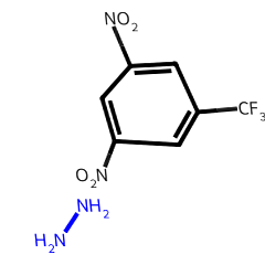 NN.O=[N+]([O-])c1cc([N+](=O)[O-])cc(C(F)(F)F)c1